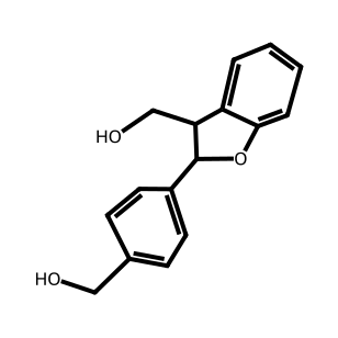 OCc1ccc(C2Oc3ccccc3C2CO)cc1